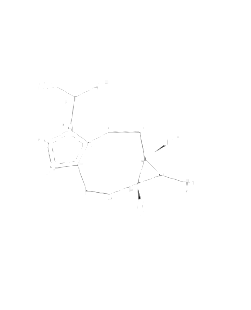 CC(C)C1[C@H]2CCc3c(nnn3C(C)I)CC[C@@H]12